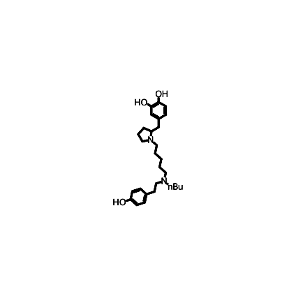 CCCCN(CCCCCN1CCCC1Cc1ccc(O)c(O)c1)CCc1ccc(O)cc1